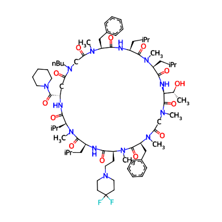 CCCCN1CC(=O)N(C)[C@@H](Cc2ccccc2)C(=O)N[C@@H](CC(C)C)C(=O)N(C)[C@@H](CC(C)C)C(=O)N[C@@H]([C@@H](C)O)C(=O)N(C)CC(=O)N(C)[C@@H](Cc2ccccc2)C(=O)N(C)[C@@H](CCN2CCC(F)(F)CC2)C(=O)N[C@@H](CC(C)C)C(=O)N(C)[C@@H](C(C)C)C(=O)N[C@H](C(=O)N2CCCCC2)CC1=O